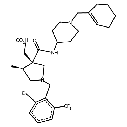 C[C@@H]1CN(Cc2c(Cl)cccc2C(F)(F)F)C[C@@]1(CC(=O)O)C(=O)NC1CCN(CC2=CCCCC2)CC1